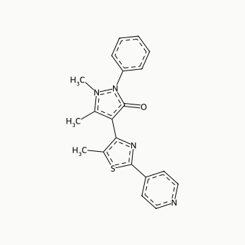 Cc1sc(-c2ccncc2)nc1-c1c(C)n(C)n(-c2ccccc2)c1=O